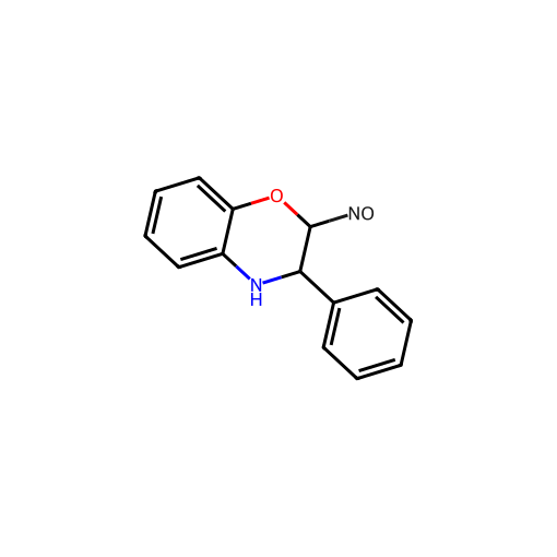 O=NC1Oc2ccccc2NC1c1ccccc1